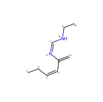 C=C(/C=C\CC)/N=C\NCC